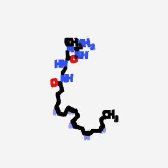 CC/C=C\C/C=C\C/C=C\C/C=C\C/C=C\CCCC(=O)NCCNC(=O)CN(C)C(=N)N